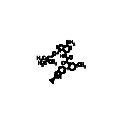 C[C@H]1CC[C@H](c2ccc3cn(C4CC4)nc3c2)N(C(=O)C(=O)Nc2cnc(N)c3cnn(COCC[Si](C)(C)C)c23)C1